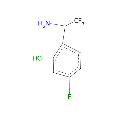 Cl.NC(c1ccc(F)cc1)C(F)(F)F